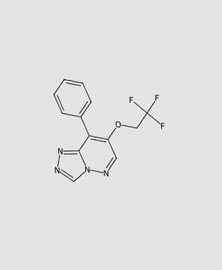 FC(F)(F)COc1cnn2cnnc2c1-c1ccccc1